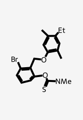 CCc1cc(C)c(OCc2c(Br)cccc2OC(=S)NC)cc1C